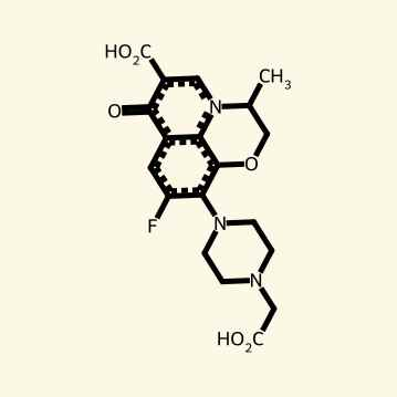 CC1COc2c(N3CCN(CC(=O)O)CC3)c(F)cc3c(=O)c(C(=O)O)cn1c23